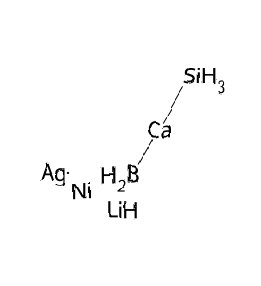 [Ag].[BH2][Ca][SiH3].[LiH].[Ni]